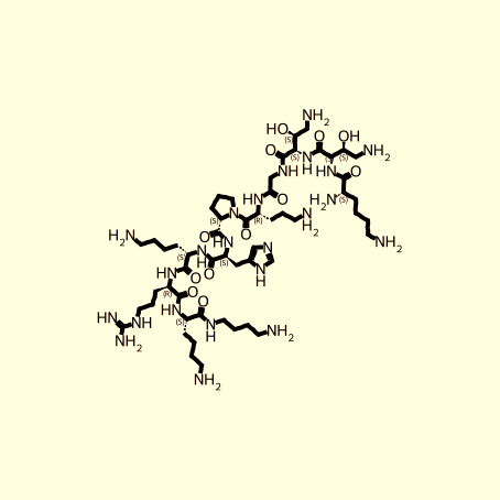 N=C(N)NCCC[C@@H](NC(=O)[C@H](CCCCN)NC(=O)[C@H](Cc1cnc[nH]1)NC(=O)[C@@H]1CCCN1C(=O)[C@@H](CCCN)NC(=O)CNC(=O)[C@@H](NC(=O)[C@@H](NC(=O)[C@@H](N)CCCCN)[C@@H](O)CN)[C@@H](O)CN)C(=O)N[C@@H](CCCCN)C(=O)NCCCCN